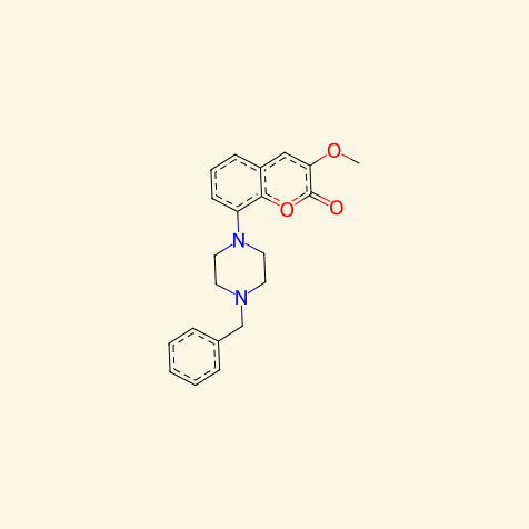 COc1cc2cccc(N3CCN(Cc4ccccc4)CC3)c2oc1=O